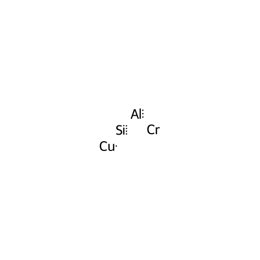 [Al].[Cr].[Cu].[Si]